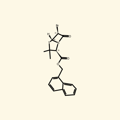 CC1(C)S[C@@H]2[C@@H](Br)C(=O)N2[C@H]1C(=O)OCc1cccc2ccccc12